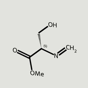 C=N[C@@H](CO)C(=O)OC